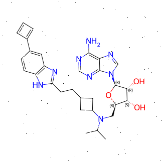 CC(C)N(C[C@H]1O[C@@H](n2cnc3c(N)ncnc32)[C@H](O)[C@@H]1O)C1CC(CCc2nc3cc(C4=CC=C4)ccc3[nH]2)C1